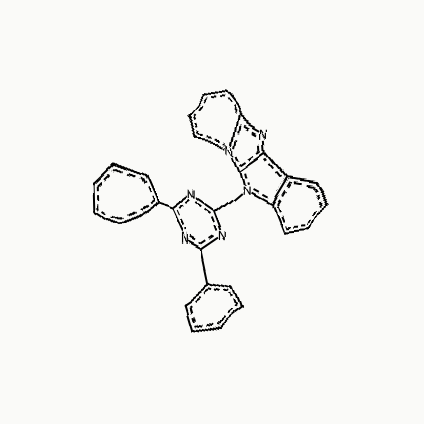 c1ccc(-c2nc(-c3ccccc3)nc(-n3c4ccccc4c4nc5ccccn5c43)n2)cc1